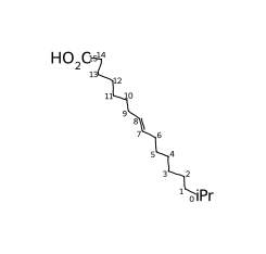 CC(C)CCCCCCC=CCCCCCCC(=O)O